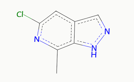 Cc1nc(Cl)cc2cn[nH]c12